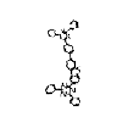 c1ccc(-c2cc(-c3ccc(-c4ccc5c(c4)sc4ccc(-c6nc(-c7ccccc7)nc(-c7ccccc7)n6)cc45)cc3)nc(-c3ccccc3)n2)cc1